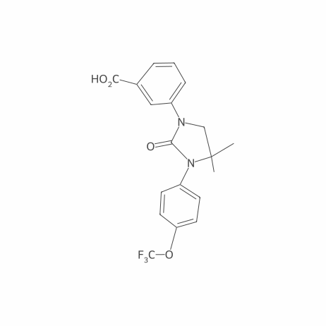 CC1(C)CN(c2cccc(C(=O)O)c2)C(=O)N1c1ccc(OC(F)(F)F)cc1